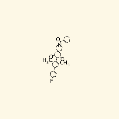 Cc1cc(-c2ccc(F)cc2)cc(C)c1C1C(=O)CC2(CCN(C(=O)C3=CC=CCC3)CC2)CC1=O